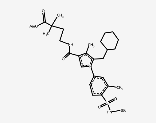 COC(=O)C(C)(C)CCNC(=O)c1cn(-c2ccc(S(=O)(=O)NC(C)(C)C)c(C(F)(F)F)c2)c(CC2CCCCC2)c1C